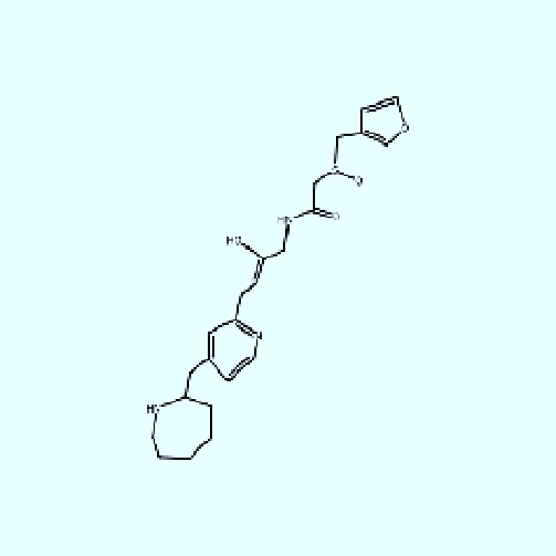 O=C(C[S+]([O-])Cc1ccoc1)NCC(O)=CCc1cc(CC2CCCCCN2)ccn1